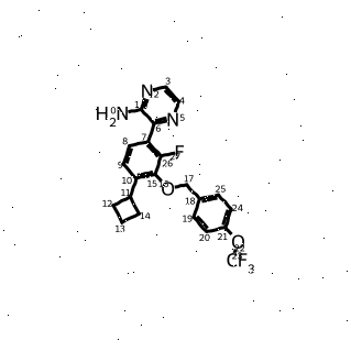 Nc1nccnc1-c1ccc(C2CCC2)c(OCc2ccc(OC(F)(F)F)cc2)c1F